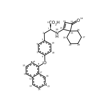 O=C(O)[C@H](Cc1ccc(Oc2nccc3ccncc23)cc1)NC1=CC(=O)C12CCCCC2